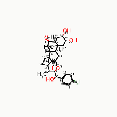 C[C@H](C(O)C(O)c1ccc(Cl)cc1)[C@H]1CC[C@H]2[C@@H]3CC(=O)[C@H]4C[C@H](O)[C@H](O)C[C@]4(C)[C@H]3CC[C@]12C